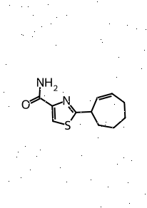 NC(=O)c1csc(C2C=CCCCC2)n1